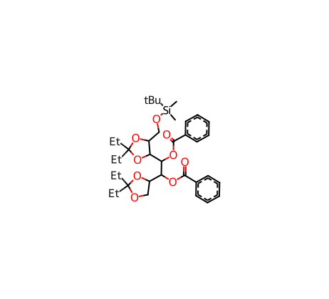 CCC1(CC)OCC(C(OC(=O)c2ccccc2)C(OC(=O)c2ccccc2)C2OC(CC)(CC)OC2CO[Si](C)(C)C(C)(C)C)O1